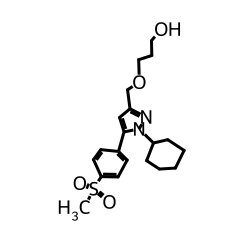 CS(=O)(=O)c1ccc(-c2cc(COCCCO)nn2C2CCCCC2)cc1